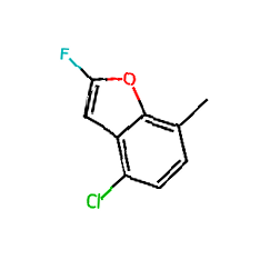 Cc1ccc(Cl)c2cc(F)oc12